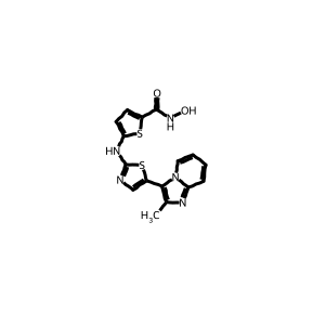 Cc1nc2ccccn2c1-c1cnc(Nc2ccc(C(=O)NO)s2)s1